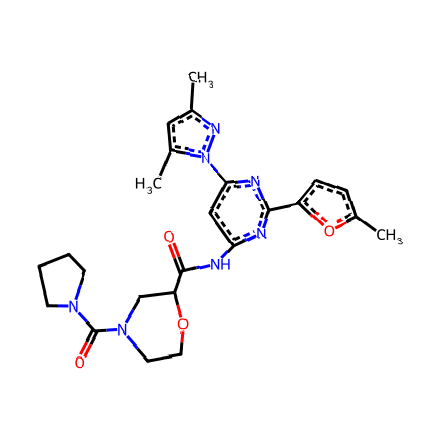 Cc1cc(C)n(-c2cc(NC(=O)C3CN(C(=O)N4CCCC4)CCO3)nc(-c3ccc(C)o3)n2)n1